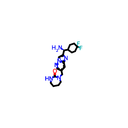 N[C@H](c1cn2ncc(CN3CCCCNC3=O)cc2n1)C1CCC(F)(F)CC1